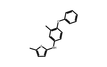 Cc1ccc(Nc2ccc(Oc3ccccc3)c(C)c2)s1